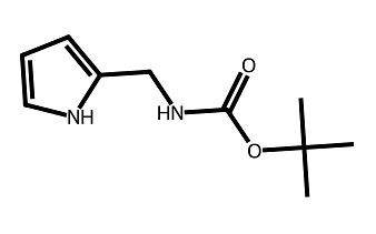 CC(C)(C)OC(=O)NCc1ccc[nH]1